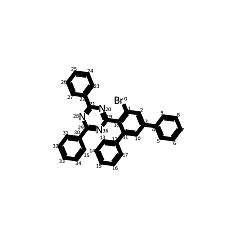 Brc1cc(-c2ccccc2)cc(-c2ccccc2)c1-c1nc(-c2ccccc2)nc(-c2ccccc2)n1